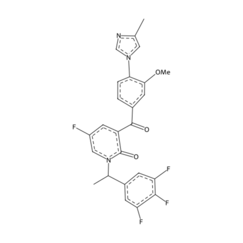 COc1cc(C(=O)c2cc(F)cn(C(C)c3cc(F)c(F)c(F)c3)c2=O)ccc1-n1cnc(C)c1